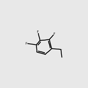 C[CH]c1ccc(F)c(F)c1F